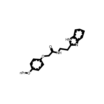 CCCOc1ccc(OCC(=O)NCCc2nc3ccccc3[nH]2)cc1